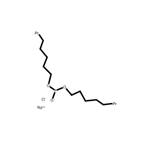 CC(C)CCCCCOP([O-])OCCCCCC(C)C.[Cl-].[Nd+2]